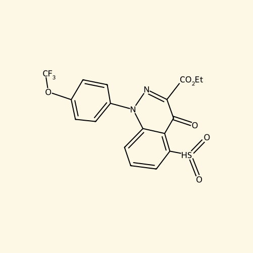 CCOC(=O)c1nn(-c2ccc(OC(F)(F)F)cc2)c2cccc([SH](=O)=O)c2c1=O